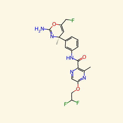 Cc1nc(OCC(F)F)cnc1C(=O)Nc1cccc([C@]2(C)C=C(CF)OC(N)=N2)c1